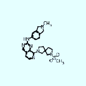 CN1Cc2ccc(Nc3ncc4ccnc(N5CCC6(CCN(S(C)(=O)=O)C6)C5)c4n3)cc2C1